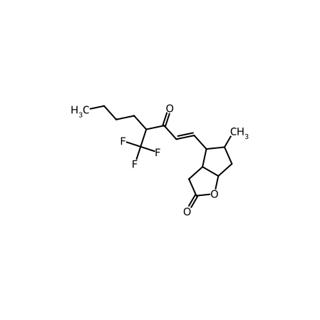 CCCCC(C(=O)C=CC1C(C)CC2OC(=O)CC21)C(F)(F)F